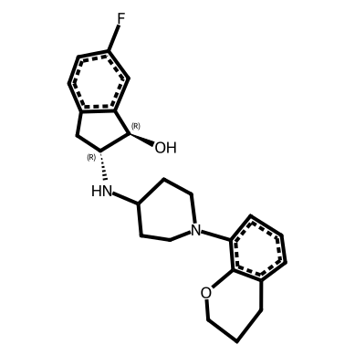 O[C@@H]1c2cc(F)ccc2C[C@H]1NC1CCN(c2cccc3c2OCCC3)CC1